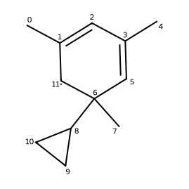 CC1=CC(C)=CC(C)(C2CC2)[CH]1